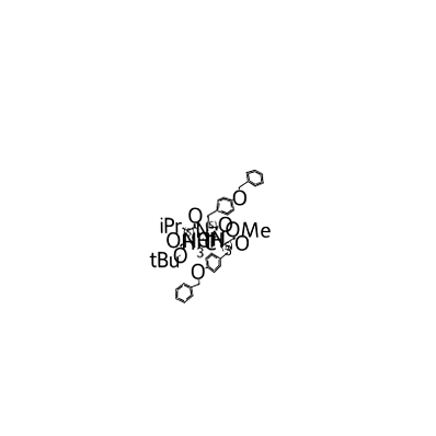 COC(=O)[C@H](Cc1ccc(OCc2ccccc2)cc1)N(C)C(=O)[C@H](Cc1ccc(OCc2ccccc2)cc1)N(C)C(=O)[C@@H](NC(=O)OC(C)(C)C)C(C)C